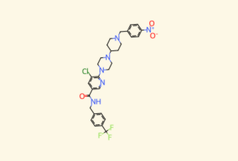 O=C(NCc1ccc(C(F)(F)F)cc1)c1cnc(N2CCN(C3CCN(Cc4ccc([N+](=O)[O-])cc4)CC3)CC2)c(Cl)c1